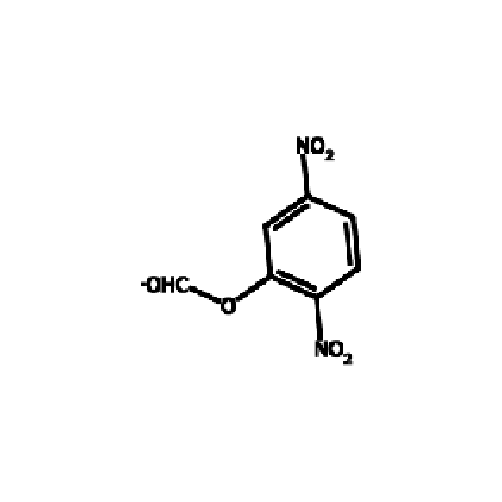 O=[C]Oc1cc([N+](=O)[O-])ccc1[N+](=O)[O-]